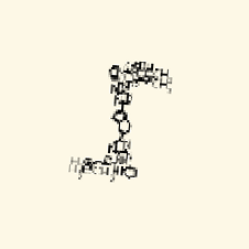 CC(C)(C)OC(=O)N1CCC[C@H]1c1nc2nc(-c3ccc4cc(-c5cnc6c(n5)nc([C@@H]5CCCN5)n6COCC[Si](C)(C)C)ccc4c3)cnc2n1COCC[Si](C)(C)C